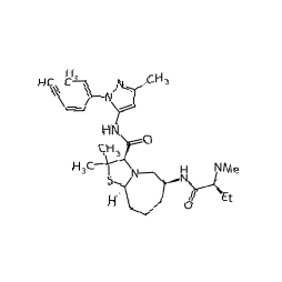 C#C/C=C\C(=C/C)n1nc(C)cc1NC(=O)[C@H]1N2C[C@@H](NC(=O)[C@H](CC)NC)CCC[C@H]2SC1(C)C